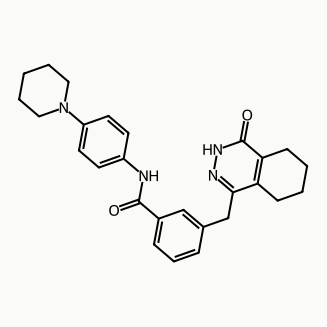 O=C(Nc1ccc(N2CCCCC2)cc1)c1cccc(Cc2n[nH]c(=O)c3c2CCCC3)c1